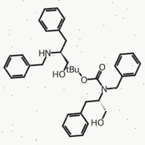 CC(C)(C)OC(=O)N(Cc1ccccc1)[C@H](CO)Cc1ccccc1.OC[C@H](Cc1ccccc1)NCc1ccccc1